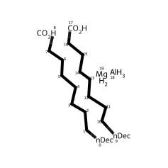 CCCCCCCCCCCCCCCCCC(=O)O.CCCCCCCCCCCCCCCCCC(=O)O.[AlH3].[MgH2]